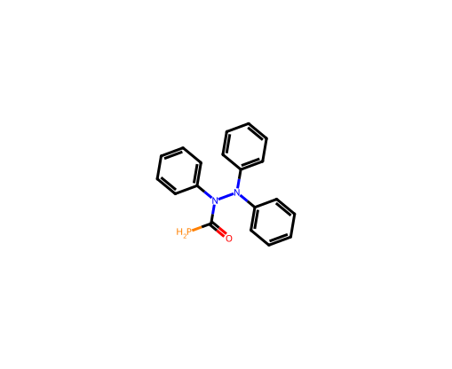 O=C(P)N(c1ccccc1)N(c1ccccc1)c1ccccc1